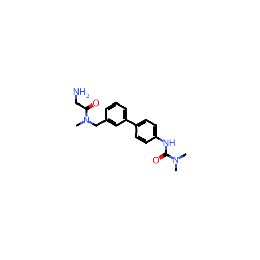 CN(C)C(=O)Nc1ccc(-c2cccc(CN(C)C(=O)CN)c2)cc1